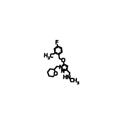 CNCc1cc(OCc2ccc(F)cc2C)n(CC2CCCCO2)n1